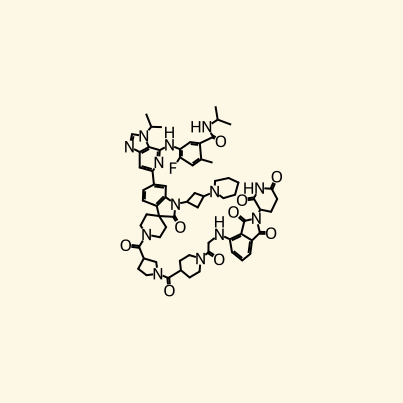 Cc1cc(F)c(Nc2nc(-c3ccc4c(c3)N(C3CC(N5CCCCC5)C3)C(=O)C43CCN(C(=O)C4CCN(C(=O)C5CCN(C(=O)CNc6cccc7c6C(=O)N(C6CCC(=O)NC6=O)C7=O)CC5)C4)CC3)cc3ncn(C(C)C)c23)cc1C(=O)NC(C)C